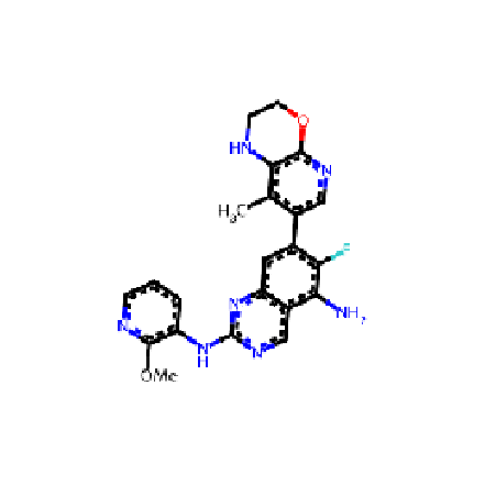 COc1ncccc1Nc1ncc2c(N)c(F)c(-c3cnc4c(c3C)NCCO4)cc2n1